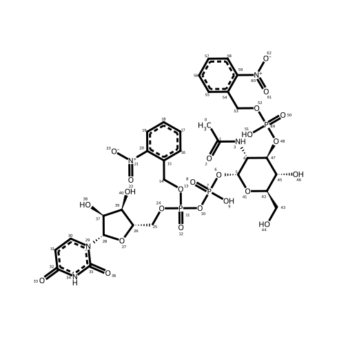 CC(=O)N[C@H]1[C@@H](OP(=O)(O)OP(=O)(OCc2ccccc2[N+](=O)[O-])OC[C@@H]2O[C@H](n3ccc(=O)[nH]c3=O)[C@@H](O)[C@H]2O)O[C@H](CO)[C@@H](O)[C@@H]1OP(=O)(O)OCc1ccccc1[N+](=O)[O-]